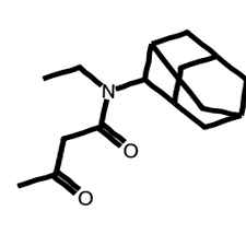 CCN(C(=O)CC(C)=O)C1C2CC3CC(C2)CC1C3